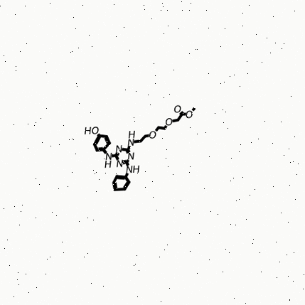 COC(=O)COCCOCCNc1nc(Nc2ccccc2)nc(Nc2ccc(O)cc2)n1